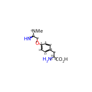 CNC(=N)COc1ccc(CC(N)C(=O)O)cc1